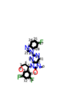 Cn1c(=O)n(C2CCOc3c(F)cc(F)cc32)c2nc(-n3cnc4ccc(F)cc43)ncc21